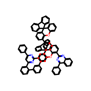 c1ccc(-c2cc(-c3ccccc3-c3cccc(-c4ccc5c(c4)Oc4c(-c6nc(-c7ccccc7)c7ccccc7n6)cccc4C54c5ccccc5-c5ccccc54)c3)nc(-c3cccc(-c4cccc(-c5cccc6c5Oc5ccccc5C65c6ccccc6-c6ccccc65)c4)c3)n2)cc1